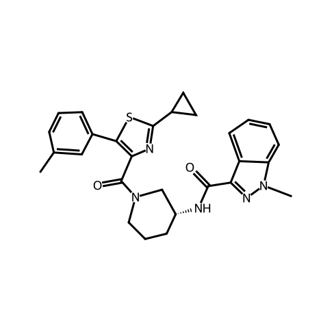 Cc1cccc(-c2sc(C3CC3)nc2C(=O)N2CCC[C@@H](NC(=O)c3nn(C)c4ccccc34)C2)c1